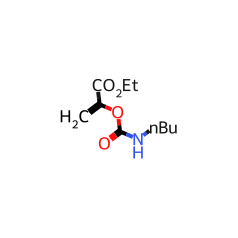 C=C(OC(=O)NCCCC)C(=O)OCC